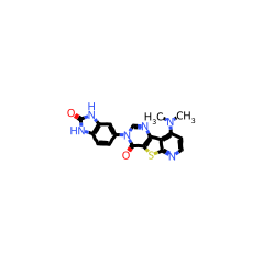 CN(C)c1ccnc2sc3c(=O)n(-c4ccc5[nH]c(=O)[nH]c5c4)cnc3c12